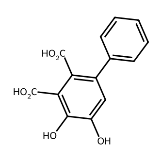 O=C(O)c1c(-c2ccccc2)cc(O)c(O)c1C(=O)O